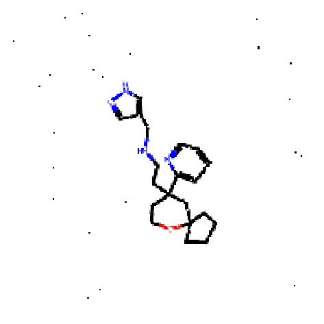 c1ccc(C2(CCNCc3cn[nH]c3)CCOC3(CCCC3)C2)nc1